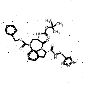 CC(C)(C)OC(=O)N[C@H]1CN(C(=O)OCc2ccccc2)c2cccc3c2N(C1=O)[C@H](C(=O)NCc1c[nH]nn1)C3